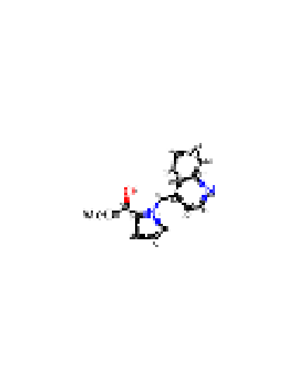 COC(=O)c1cccn1Cc1ccnc2ccccc12